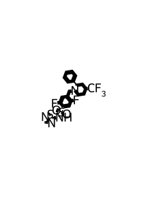 O=S(=O)(Nc1ncns1)c1cc(F)c(CN2CCC(C(F)(F)F)C[C@@H]2c2ccccc2)cc1F